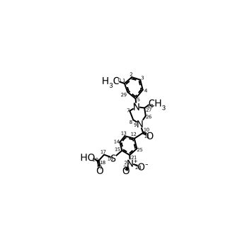 Cc1cccc(N2CCN(C(=O)c3ccc(SCC(=O)O)c([N+](=O)[O-])c3)CC2C)c1